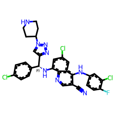 N#Cc1cnc2c(N[C@H](c3ccc(Cl)cc3)c3cn(C4CCNCC4)nn3)cc(Cl)cc2c1Nc1ccc(F)c(Cl)c1